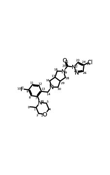 CC1COCCN1c1cc(F)ccc1CN1CC2CN(C(=O)n3cc(Cl)cn3)CC2C1